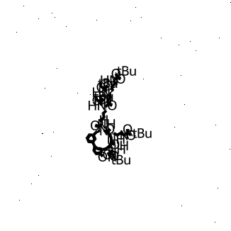 CC(C)(C)OC(=O)NCCC[C@@H](CNC(=O)[C@H](CCCCNC(=O)[C@@H]1Cc2cccc(c2)-c2ccc(O)c(c2)C[C@H](NC(=O)OC(C)(C)C)C(=O)N[C@@H](CCCNC(=O)OC(C)(C)C)C(=O)N1)NC(=O)OC(C)(C)C)NC(=O)OC(C)(C)C